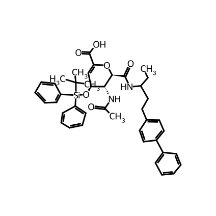 CCC(CCc1ccc(-c2ccccc2)cc1)NC(=O)[C@@H]1OC(C(=O)O)=C[C@H](O[Si](c2ccccc2)(c2ccccc2)C(C)(C)C)[C@H]1NC(C)=O